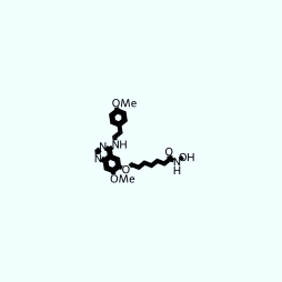 COc1ccc(CCNc2ncnc3cc(OC)c(OCCCCCCC(=O)NO)cc23)cc1